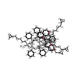 C[Si](C)(CCCOCC1CO1)O[Si]1(c2ccccc2)O[Si]2(c3ccccc3)O[Si](O[Si](C)(C)CCCOCC3CO3)(c3ccccc3)O[Si](c3ccccc3)(O1)O[Si]1(c3ccccc3)O[Si](O[Si](C)(C)CCCOCC3CO3)(c3ccccc3)O[Si](c3ccccc3)(O[Si](O[Si](C)(C)CCCOCC3CO3)(c3ccccc3)O1)O2